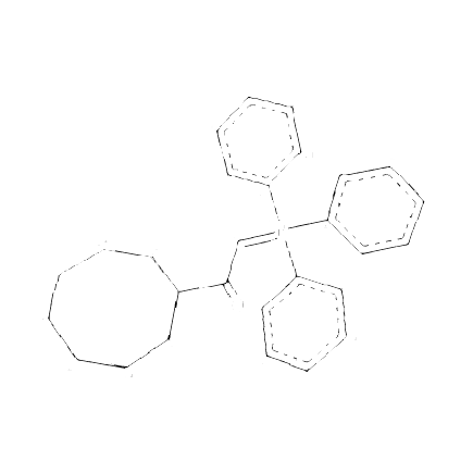 O=C(C=P(c1ccccc1)(c1ccccc1)c1ccccc1)C1CCCCCCC1